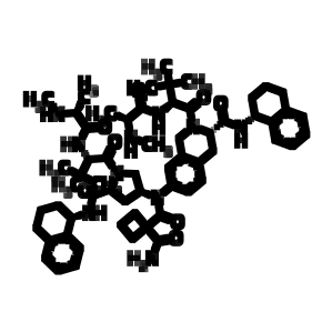 CN[C@@H](C)C(=O)N[C@H](C(=O)N1Cc2cc(N(C(=O)C3(C(N)=O)CCC3)[C@H]3C[C@@H](C(=O)N[C@@H]4CCCc5ccccc54)N(C(=O)[C@@H](NC(=O)[C@H](C)NC)C(C)(C)C)C3)ccc2C[C@H]1C(=O)N[C@@H]1CCCc2ccccc21)C(C)(C)C